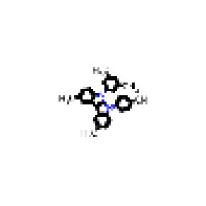 Cc1cc(C)cc(-n2c3ccc(C)cc3c3c4cc(C)ccc4n(-c4ccc(C#N)cc4)c32)c1